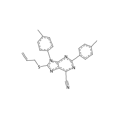 C=CCSc1nc2c(C#N)nc(-c3ccc(C)cc3)nc2n1-c1ccc(C)cc1